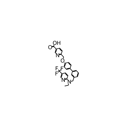 CCN(Cc1cccc(-c2ccc(OCc3ccc(C(=O)O)cn3)cc2)c1)c1ccc(C(F)(F)F)cn1